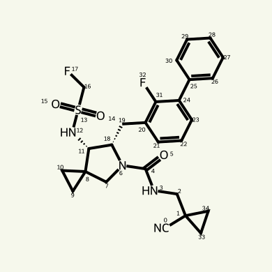 N#CC1(CNC(=O)N2CC3(CC3)[C@H](NS(=O)(=O)CF)[C@@H]2Cc2cccc(-c3ccccc3)c2F)CC1